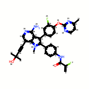 C=C(F)C(=O)Nc1ccc(-c2c(-c3ccc(Oc4nccc(C)n4)c(F)c3)c3c(N)ncc(C#CC(C)(C)O)c3n2C)cc1